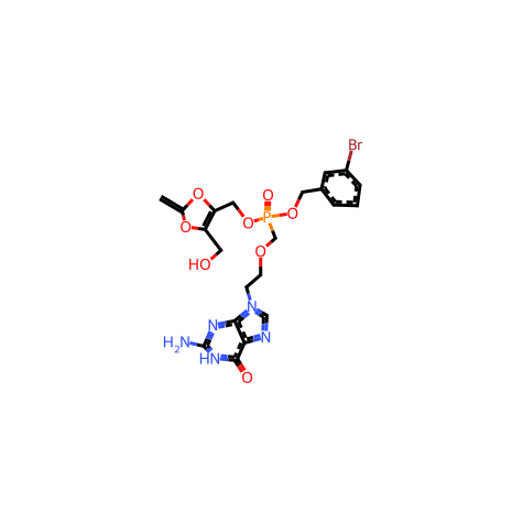 C=C1OC(CO)=C(COP(=O)(COCCn2cnc3c(=O)[nH]c(N)nc32)OCc2cccc(Br)c2)O1